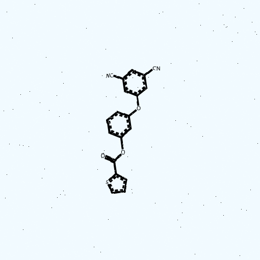 N#Cc1cc(C#N)cc(Oc2cccc(OC(=O)c3cccs3)c2)c1